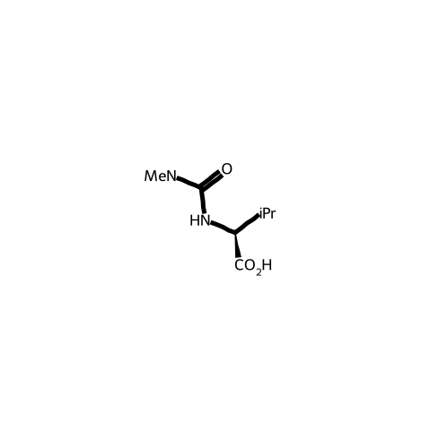 CNC(=O)N[C@H](C(=O)O)C(C)C